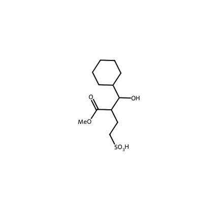 COC(=O)C(CCS(=O)(=O)O)C(O)C1CCCCC1